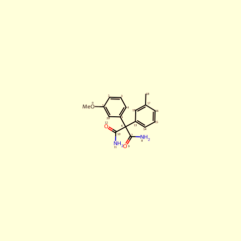 COc1cccc(C(C(N)=O)(C(N)=O)c2cccc(C)c2)c1